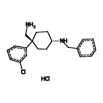 Cl.NC[C@]1(c2cccc(Cl)c2)CC[C@@H](NCc2ccccc2)CC1